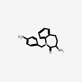 NC1CCc2ccccc2N(Cc2ccc([N+](=O)[O-])cc2)C1=O